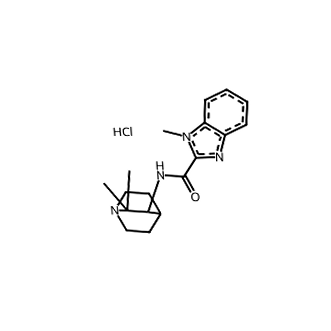 Cl.Cn1c(C(=O)NC2C3CCN(CC3)C2(C)C)nc2ccccc21